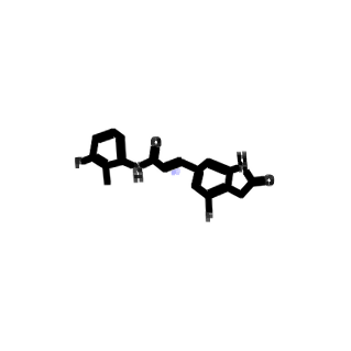 Cc1c(F)cccc1NC(=O)/C=C/c1cc(F)c2c(c1)NC(=O)C2